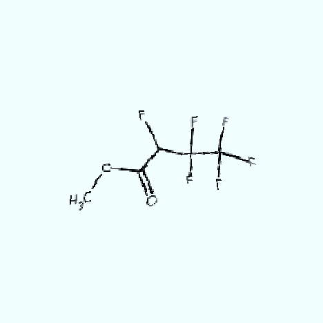 COC(=O)C(F)C(F)(F)C(F)(F)F